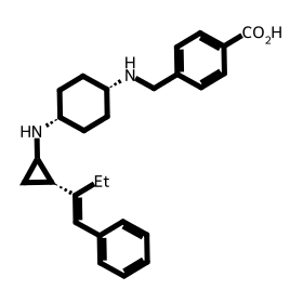 CC/C(=C\c1ccccc1)[C@@H]1CC1N[C@H]1CC[C@@H](NCc2ccc(C(=O)O)cc2)CC1